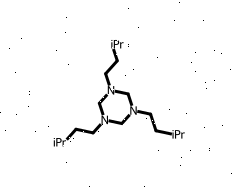 CC(C)CCN1CN(CCC(C)C)CN(CCC(C)C)C1